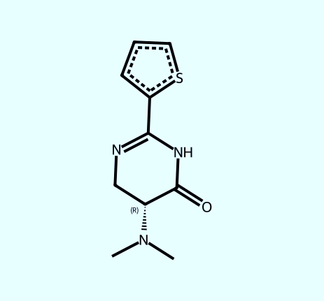 CN(C)[C@@H]1CN=C(c2cccs2)NC1=O